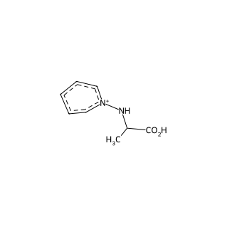 CC(N[n+]1ccccc1)C(=O)O